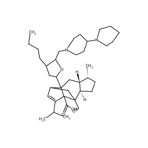 CCCCC1CC(C23C[C@@H]4[C@H](C)CC[C@H]4C4(C=O)CC2C=C(C(C)C)C34C(=O)O)OC1CN1CCC(N2CCCCC2)CC1